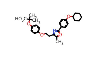 Cc1oc(-c2ccc(OC3CCCCC3)cc2)nc1CCOc1ccc(OC(C)(C)C(=O)O)cc1